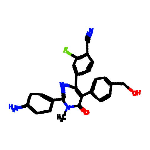 Cn1c(C2=CCC(N)CC2)nc(-c2ccc(C#N)c(F)c2)c(-c2ccc(CO)cc2)c1=O